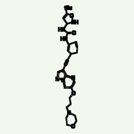 CC(C)(C)C1=CC(NC(=O)NC2=CC(C#Cc3cnn4cc(OCCCN5CCOCC5)cnc34)CC=C2)NO1